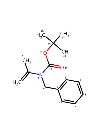 C=C(C)N(Cc1ccccc1)C(=O)OC(C)(C)C